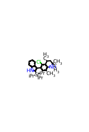 Cc1cc(-c2c([Si](C(C)C)(C(C)C)C(C)C)[nH]c3ccccc23)c(Cl)c2c1NC(C)(C)CC2C